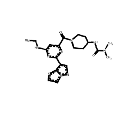 CN(C)C(=O)NC1CCN(C(=O)c2cc(NCC(C)(C)C)nc(-c3cnn4ccsc34)n2)CC1